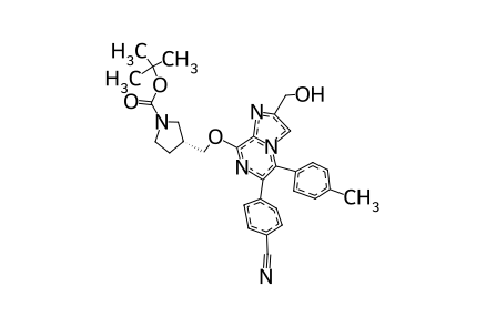 Cc1ccc(-c2c(-c3ccc(C#N)cc3)nc(OC[C@@H]3CCN(C(=O)OC(C)(C)C)C3)c3nc(CO)cn23)cc1